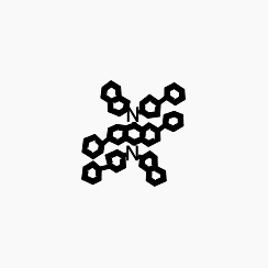 c1ccc(-c2ccc(N(c3ccc4ccccc4c3)c3c4ccc(-c5ccccc5)cc4c(N(c4ccc(-c5ccccc5)cc4)c4ccc5ccccc5c4)c4ccc(-c5ccccc5)cc34)cc2)cc1